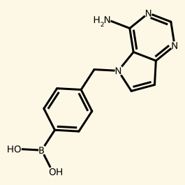 Nc1ncnc2ccn(Cc3ccc(B(O)O)cc3)c12